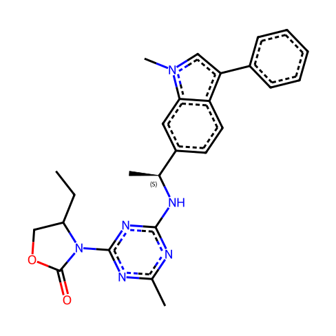 CCC1COC(=O)N1c1nc(C)nc(N[C@@H](C)c2ccc3c(-c4ccccc4)cn(C)c3c2)n1